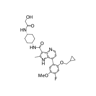 COc1cc(-c2ccnc3c(C(=O)N[C@H]4CC[C@@H](NC(=O)CO)CC4)c(C)[nH]c23)c(OCC2CC2)cc1F